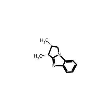 C[C@@H]1Cn2c(nc3ccccc32)[C@@H]1C